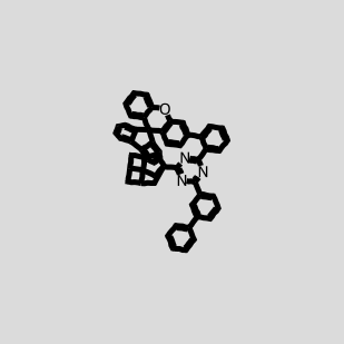 c1ccc(-c2cccc(-c3nc(-c4ccccc4-c4ccc5c(c4)Oc4ccccc4C54c5ccccc5-c5ccccc54)nc(C45CC6CC7CC(C4)C76C5)n3)c2)cc1